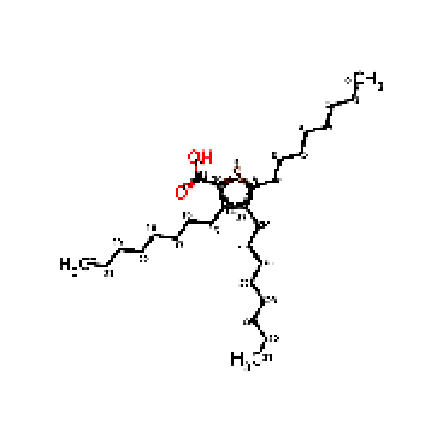 CCCCCCCCc1sc(C(=O)O)c(CCCCCCCC)c1CCCCCCCC